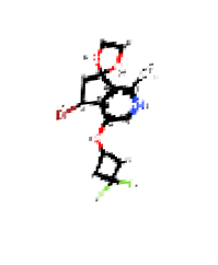 FC1(F)CC(Oc2cnc(C(F)(F)F)c3c2C(Br)CC32OCCO2)C1